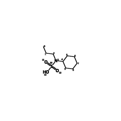 CCCN(C1CCCCC1)S(=O)(=O)O